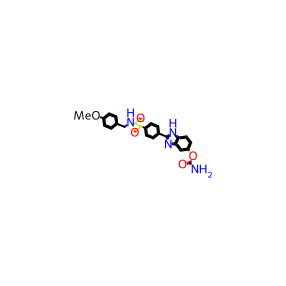 COc1ccc(CNS(=O)(=O)c2ccc(-c3nc4cc(OC(N)=O)ccc4[nH]3)cc2)cc1